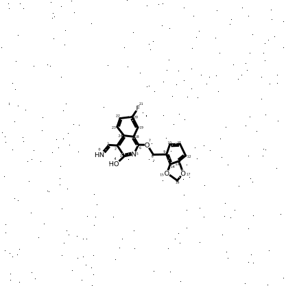 N=Cc1c(O)nc(OCc2cccc3c2OCO3)c2cc(F)ccc12